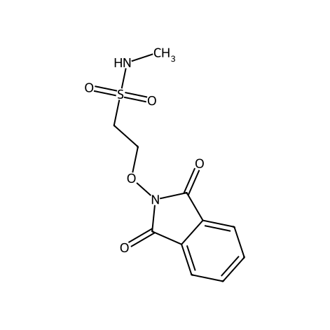 CNS(=O)(=O)CCON1C(=O)c2ccccc2C1=O